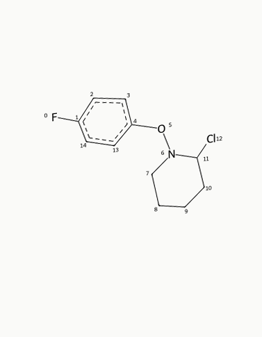 Fc1ccc(ON2CCCCC2Cl)cc1